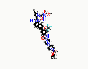 COC(=O)NCC(=O)N1CC(C)CC1c1nc2c(ccc3cc(-c4ccc(NC(=O)N5CCN(C6CCN(C(=O)OC(C)(C)C)CC6)CC5)cc4OC(F)(F)F)ccc32)[nH]1